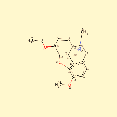 CCO[C@H]1C=CC2C3Cc4ccc(OC)c5c4[C@@]2(CCN3C)C1O5